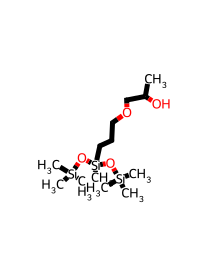 CC(O)COCCC[Si](C)(O[Si](C)(C)C)O[Si](C)(C)C